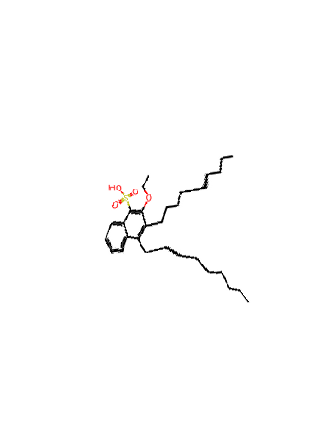 CCCCCCCCCc1c(OCC)c(S(=O)(=O)O)c2ccccc2c1CCCCCCCCC